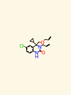 C=CCOCC1(C2CC2)c2cc(Cl)ccc2NC(=O)N1CC=C